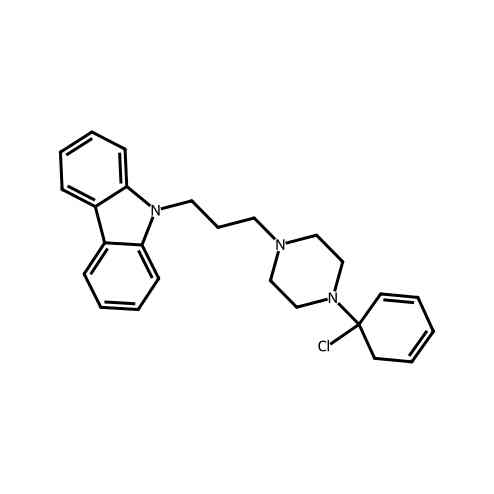 ClC1(N2CCN(CCCn3c4ccccc4c4ccccc43)CC2)C=CC=CC1